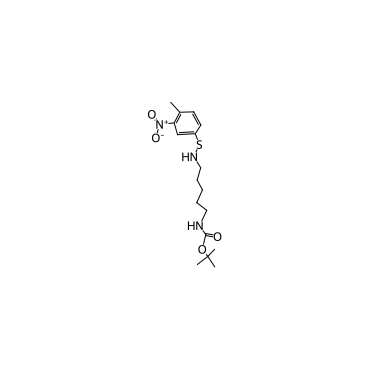 Cc1ccc(SNCCCCCNC(=O)OC(C)(C)C)cc1[N+](=O)[O-]